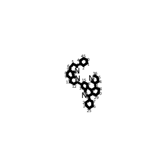 c1ccc(-c2ccc3ccc4ccc(-c5ccc6c(c5)nc(-c5ccccc5)c5cccc(-c7cccnc7)c56)nc4c3n2)cc1